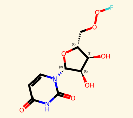 O=c1ccn([C@@H]2O[C@H](COOF)[C@@H](O)[C@H]2O)c(=O)[nH]1